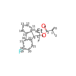 C=C(C)C(=O)OC(C)(CC)C1c2ccccc2-c2cc(F)ccc21